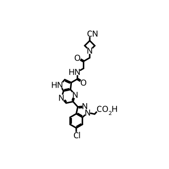 N#CC1CN(CC(=O)CNC(=O)c2c[nH]c3ncc(-c4nn(CC(=O)O)c5cc(Cl)ccc45)nc23)C1